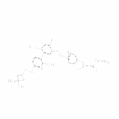 Cc1nc(OCC2CC(C)(O)C2)ccc1-c1cc(COc2cc3c(cn2)C2C(C3)C2C(=O)OC(C)(C)C)c(F)cc1C(F)(F)F